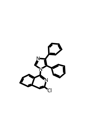 Clc1cc2ccccc2c(-n2cnc(-c3ccccc3)c2-c2ccccc2)n1